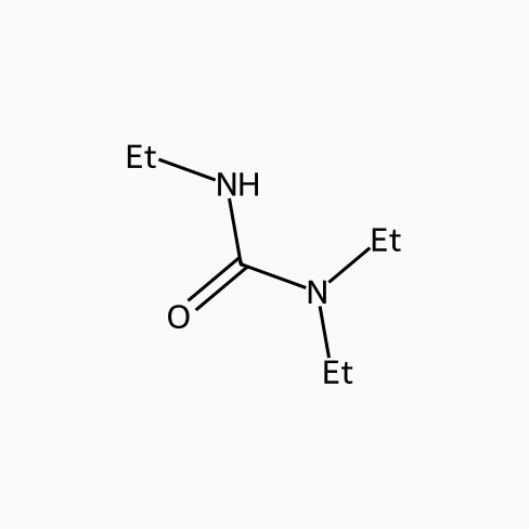 [CH2]CN(CC)C(=O)NCC